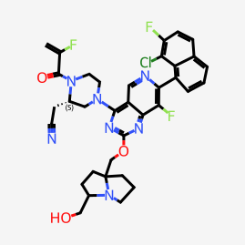 C=C(F)C(=O)N1CCN(c2nc(OCC34CCCN3C(CO)CC4)nc3c(F)c(-c4cccc5ccc(F)c(Cl)c45)ncc23)C[C@@H]1CC#N